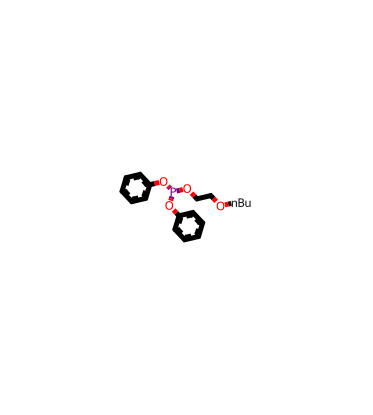 CCCCOCCOP(Oc1ccccc1)Oc1ccccc1